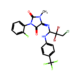 CN1C(=O)N(c2ccccc2F)C(=O)C1=NC(Nc1ccc(C(F)(F)F)cc1)C(Br)(Br)CCl